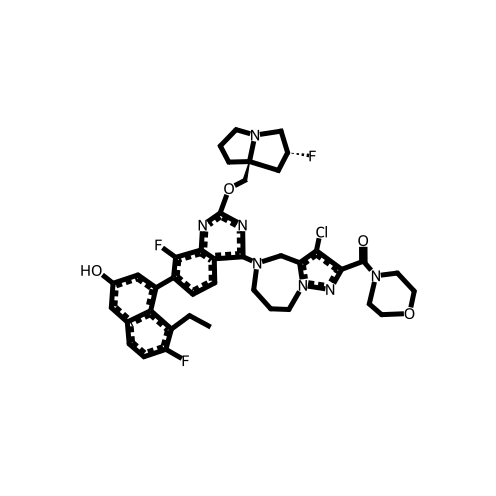 CCc1c(F)ccc2cc(O)cc(-c3ccc4c(N5CCCn6nc(C(=O)N7CCOCC7)c(Cl)c6C5)nc(OC[C@@]56CCCN5C[C@H](F)C6)nc4c3F)c12